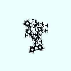 CCNC(=O)[C@H]1O[C@@H](n2cnc3c(NCC(c4ccccc4)c4ccccc4)nc(NC4CCN(Cc5ccccc5)C4)nc32)[C@H](O)[C@@H]1O